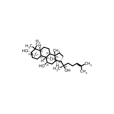 CC(C)=CCC[C@](C)(O)[C@H]1CC[C@]2(C)[C@@H]1C[C@@H](O)[C@@H]1[C@@]3(C)CC[C@H](O)C(C)(C)[C@@H]3CC[C@]12C